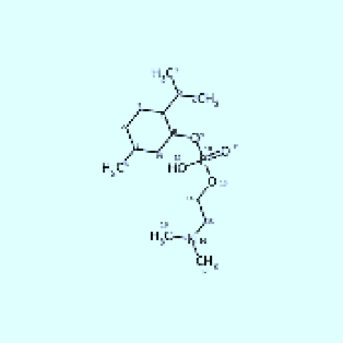 CC1CCC(C(C)C)C(OP(=O)(O)OCCN(C)C)C1